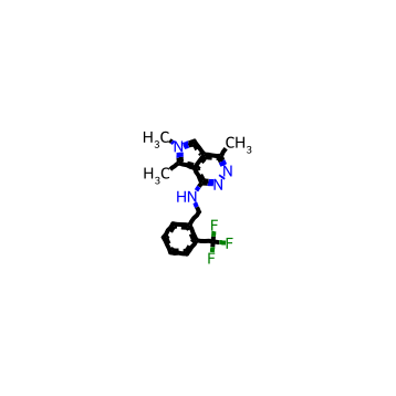 Cc1nnc(NCc2ccccc2C(F)(F)F)c2c(C)n(C)cc12